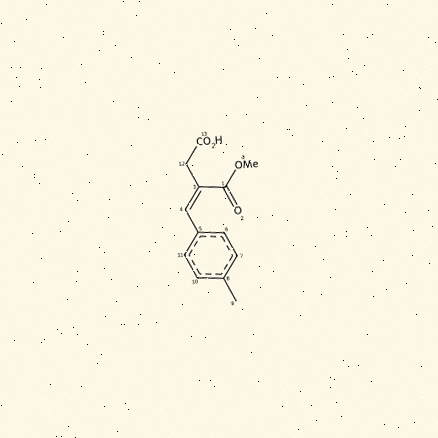 COC(=O)C(=Cc1ccc(C)cc1)CC(=O)O